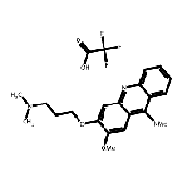 CNc1c2ccccc2nc2cc(OCCCN(C)C)c(OC)cc12.O=C(O)C(F)(F)F